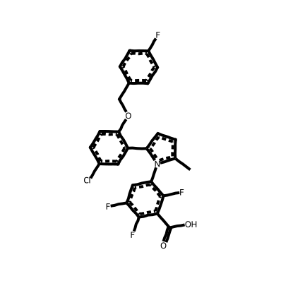 Cc1ccc(-c2cc(Cl)ccc2OCc2ccc(F)cc2)n1-c1cc(F)c(F)c(C(=O)O)c1F